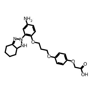 Nc1ccc(OCCCOc2ccc(OCC(=O)O)cc2)c(N2N=C3CCCCC3N2)c1